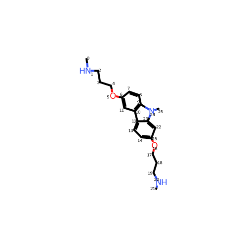 CNCCCOc1ccc2c(c1)c1ccc(OCCCNC)cc1n2C